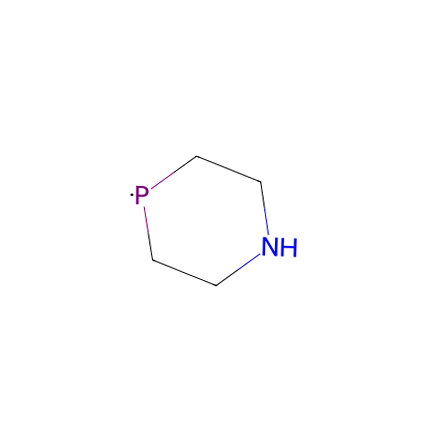 C1C[P]CCN1